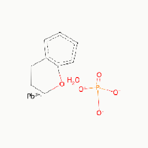 O.O=P([O-])([O-])[O-].[Pb+3].c1ccc2c(c1)CCCO2